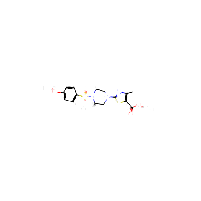 Cc1nc(N2CCN(S(=O)(=O)c3ccc(OC(F)(F)F)cc3)C(C(=O)O)C2)sc1C(=O)OC(C)(C)C